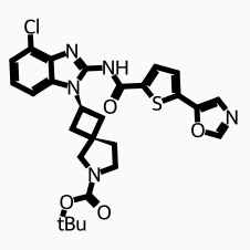 CC(C)(C)OC(=O)N1CC[C@]2(C1)C[C@H](n1c(NC(=O)c3ccc(-c4cnco4)s3)nc3c(Cl)cccc31)C2